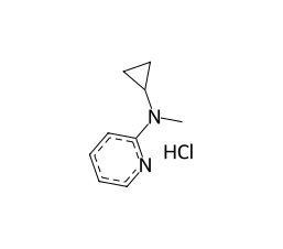 CN(c1ccccn1)C1CC1.Cl